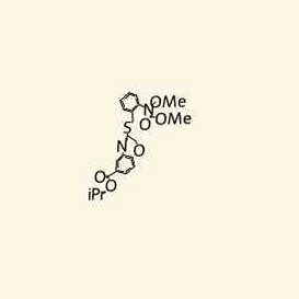 COC(=O)N(OC)c1ccccc1CSC1=Nc2cc(C(=O)OC(C)C)ccc2OC1